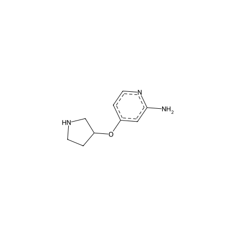 Nc1cc(OC2CCNC2)ccn1